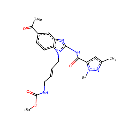 CCn1nc(C)cc1C(=O)Nc1nc2cc(C(=O)OC)ccc2n1C/C=C/CNC(=O)OC(C)(C)C